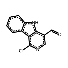 O=[C]c1cnc(Cl)c2c1[nH]c1ccccc12